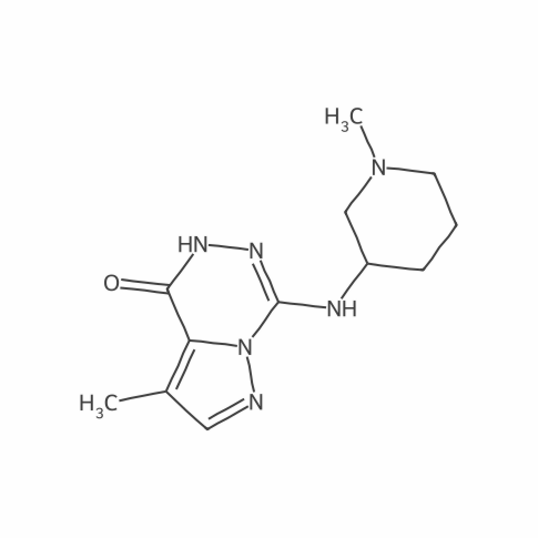 Cc1cnn2c(NC3CCCN(C)C3)n[nH]c(=O)c12